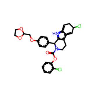 O=C(Oc1ccccc1Cl)N1CCc2c([nH]c3c2=CC(Cl)CC=3)C1c1ccc(OCC2OCCO2)cc1